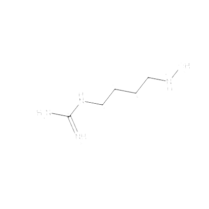 N=C(N)NCCCCNO